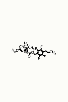 C=CCc1c(F)c(F)c(COC(=O)[C@@H]2[C@@H](C=C(C)C)C2(C)C)c(F)c1F